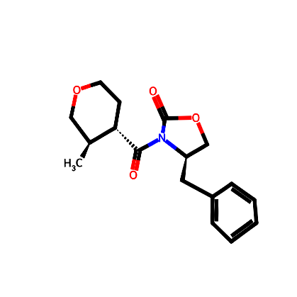 C[C@H]1COCC[C@@H]1C(=O)N1C(=O)OC[C@H]1Cc1ccccc1